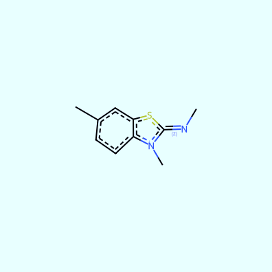 C/N=c1\sc2cc(C)ccc2n1C